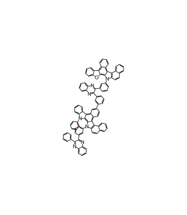 c1ccc(-c2nc3ccccc3nc2-c2cccc(-n3c4ccc5ccccc5c4c4c5ccc(-c6cccc(-c7nc8ccccc8nc7-c7cccc(-n8c9ccc%10ccccc%10c9c9c%10ccccc%10c%10c%11ccccc%11oc%10c98)c7)c6)cc5c5c6ccccc6n(-c6ccccc6)c5c43)c2)cc1